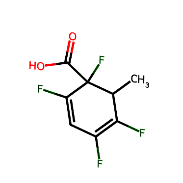 CC1C(F)=C(F)C=C(F)C1(F)C(=O)O